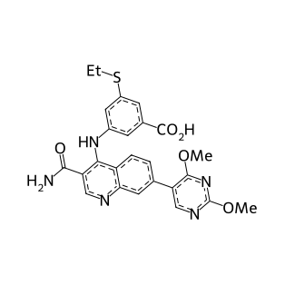 CCSc1cc(Nc2c(C(N)=O)cnc3cc(-c4cnc(OC)nc4OC)ccc23)cc(C(=O)O)c1